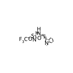 C[C@@H](NC(=O)[C@@H]1C[C@H]1c1cn(C)c2ccccc12)c1cnc(OCC(F)(F)F)s1